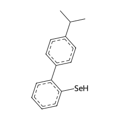 CC(C)c1ccc(-c2ccccc2[SeH])cc1